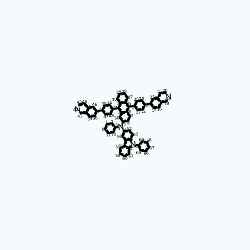 c1ccc(N(c2ccc3c(-c4ccc(-c5ccc6cnccc6c5)cc4)c4ccccc4c(-c4ccc(-c5ccc6cnccc6c5)cc4)c3c2)c2ccc3c(c2)c2ccccc2n3-c2ccccc2)cc1